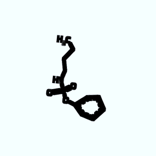 CCCCNS(=O)(=O)Oc1ccccc1